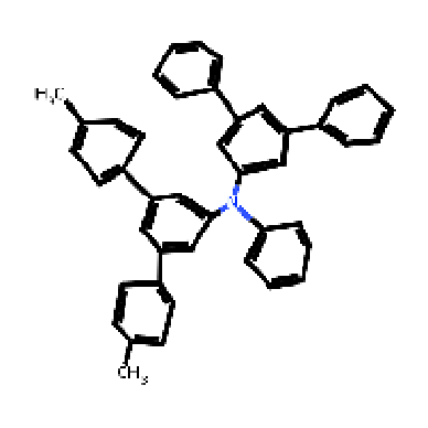 Cc1ccc(-c2cc(-c3ccc(C)cc3)cc(N(c3ccccc3)c3cc(-c4ccccc4)cc(-c4ccccc4)c3)c2)cc1